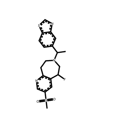 CC(c1ccc2scnc2c1)N1CCc2ncc(S(C)(=O)=O)cc2C(F)C1